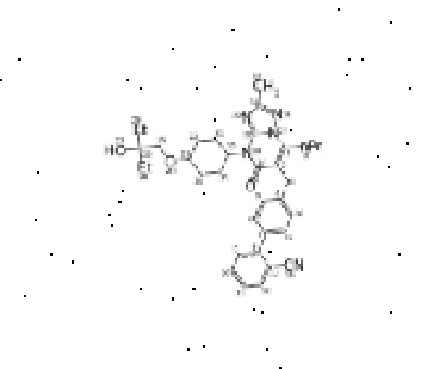 CCCc1c(Cc2ccc(-c3ccccc3C#N)cc2)c(=O)n(C2CCC(OCC(O)(CC)CC)CC2)c2nc(C)nn12